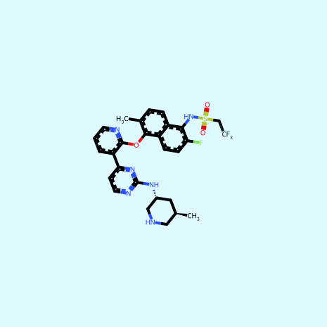 Cc1ccc2c(NS(=O)(=O)CC(F)(F)F)c(F)ccc2c1Oc1ncccc1-c1ccnc(N[C@H]2CNC[C@H](C)C2)n1